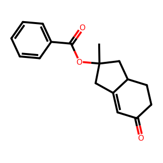 CC1(OC(=O)c2ccccc2)CC2=CC(=O)CCC2C1